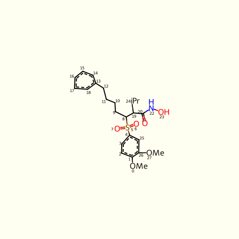 COc1ccc(S(=O)(=O)C(CCCCc2ccccc2)C(C(=O)NO)C(C)C)cc1OC